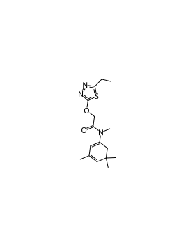 CCc1nnc(OCC(=O)N(C)C2=CC(C)=CC(C)(C)C2)s1